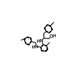 Cc1ccc(CNc2cccc(C)c2NC(CO)Cc2ccc(C)cc2)cc1